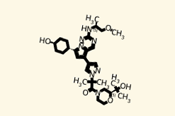 COC[C@H](C)Nc1ncc2c(-c3cnn(C(C)(C)C(=O)N4CCO[C@H](C(C)(C)O)C4)c3)cc([C@H]3CC[C@H](O)CC3)n2n1